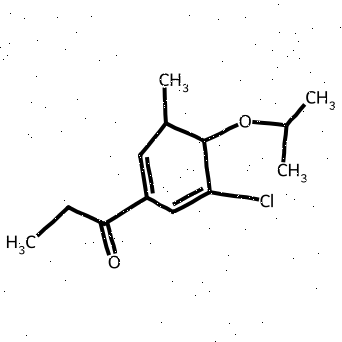 CCC(=O)C1=CC(C)C(OC(C)C)C(Cl)=C1